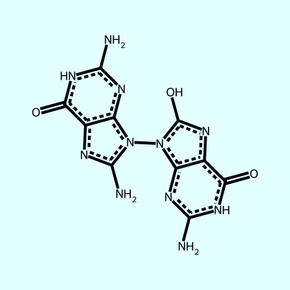 Nc1nc2c(nc(N)n2-n2c(O)nc3c(=O)[nH]c(N)nc32)c(=O)[nH]1